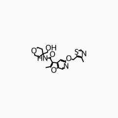 Cc1ncsc1COc1cc2c(C(=O)NC3(CO)CCOCC3)c(C)oc2cn1